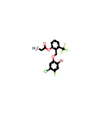 CCC(=O)Oc1cccc(C(F)(F)F)c1COc1cc(Cl)c(F)cc1Br